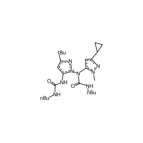 CCCCNC(=O)Nc1cc(C(C)(C)C)nn1N(C(=O)NCCCC)c1cc(C2CC2)nn1C